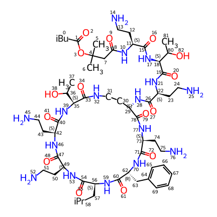 CCC(C)C(=O)OC(C)(C)CC(=O)N[C@@H](CCN)C(=O)N[C@H](C(=O)N[C@@H](CCN)C(=O)N[C@H]1CCNC(=O)[C@H](C(C)O)NC(=O)[C@H](CCN)NC(=O)[C@H](CCN)NC(=O)[C@H](CC(C)C)NC(=O)[C@@H](Cc2ccccc2)NC(=O)[C@H](CCN)NC1=O)C(C)O